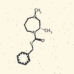 C[C@H]1CN(C)CCCN1C(=O)OCc1ccccc1